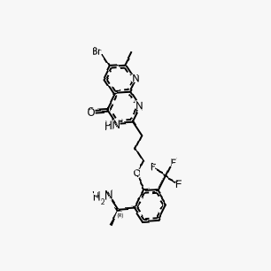 Cc1nc2nc(CCCOc3c([C@@H](C)N)cccc3C(F)(F)F)[nH]c(=O)c2cc1Br